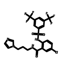 O=C(NCCCn1ccnc1)c1cc(Cl)ccc1NS(=O)(=O)c1cc(C(F)(F)F)cc(C(F)(F)F)c1